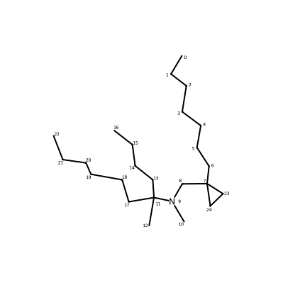 CCCCCCCC1(CN(C)C(C)(CCCC)CCCCCC)CC1